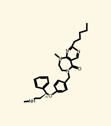 CCCCCc1ncc2c(n1)N(C)CCN(Cc1ccc(O[C@@H](CCNC)c3ccccc3)cc1)C2=O